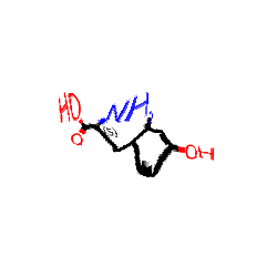 C=C1C=C(O)C=CC1C[C@H](N)C(=O)O